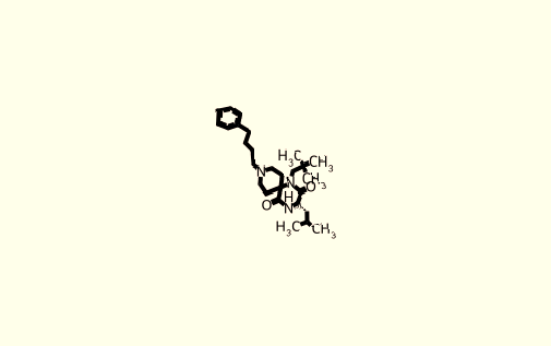 CC(C)C[C@@H]1NC(=O)C2(CCN(CCCCc3ccccc3)CC2)N(CC(C)(C)C)C1=O